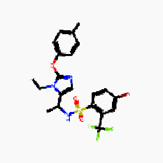 CCn1c(C(C)NS(=O)(=O)c2ccc(Br)cc2C(F)(F)F)cnc1Oc1ccc(C)cc1